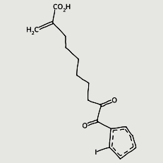 C=C(CCCCCCC(=O)C(=O)c1ccccc1I)C(=O)O